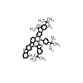 CC(C)(C)c1ccc(N2B3c4sc5ccc(C(C)(C)C)cc5c4-n4c5cc6c(cc5c5ccc(c3c54)-c3cc4c(cc32)-c2ccc(C(C)(C)C)cc2C4(C)C)sc2ccccc26)cc1